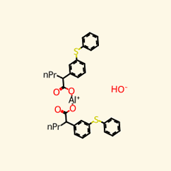 CCCC(C(=O)[O][Al+][O]C(=O)C(CCC)c1cccc(Sc2ccccc2)c1)c1cccc(Sc2ccccc2)c1.[OH-]